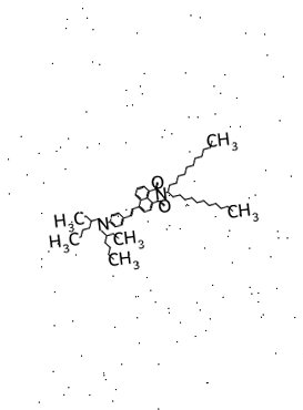 CCCCCCCCCCCC(CCCCCCCCCCC)N1C(=O)c2cccc3c(C=Cc4ccc(N(CC(CC)CCCC)CC(CC)CCCC)cc4)ccc(c23)C1=O